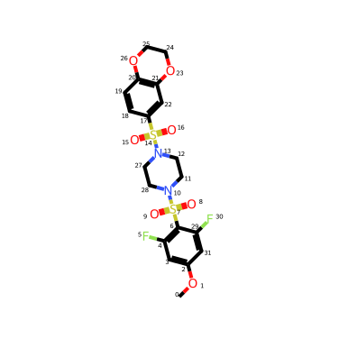 COc1cc(F)c(S(=O)(=O)N2CCN(S(=O)(=O)c3ccc4c(c3)OCCO4)CC2)c(F)c1